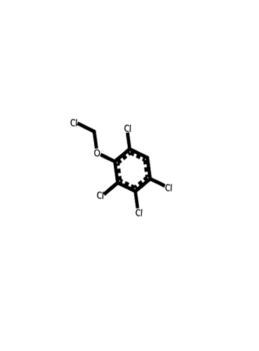 ClCOc1c(Cl)cc(Cl)c(Cl)c1Cl